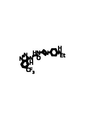 CCNC1CCC(N2CC(NC(=O)CNc3ncnc4ccc(C(F)(F)F)cc34)C2)CC1